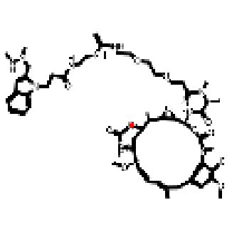 C=C(NCCNC(=O)CCn1c(CN(C)NC)cc2ccccc21)NCCOCCOCCC(=O)N(C)[C@@H](C)C(=O)O[C@H]1CC(=O)N(C)c2cc(cc(OC)c2Cl)C/C(C)=C/C=C/[C@@H](OC)[C@@]2(O)C[C@H](OC(=O)N2)[C@@H](C)C2O[C@]21C